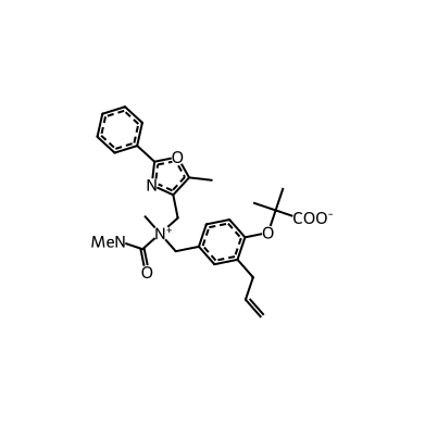 C=CCc1cc(C[N+](C)(Cc2nc(-c3ccccc3)oc2C)C(=O)NC)ccc1OC(C)(C)C(=O)[O-]